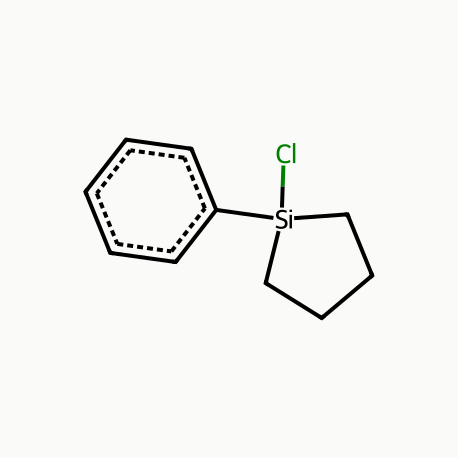 Cl[Si]1(c2ccccc2)CCCC1